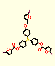 O=C(Oc1ccc([SH](c2ccc(OCc3ccc(I)o3)cc2)c2ccc(OC(=O)c3ccc(I)o3)cc2)cc1)c1ccc(I)o1